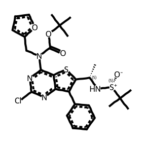 C[C@H](N[S@+]([O-])C(C)(C)C)c1sc2c(N(Cc3ccco3)C(=O)OC(C)(C)C)nc(Cl)nc2c1-c1ccccc1